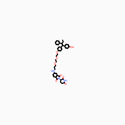 CCC(=C(c1ccc(O)cc1)c1ccc(OCCOCCOCCCNc2ccc3c(c2)C(=O)N(C2CCC(=O)NC2=O)C3=O)cc1)c1ccccc1